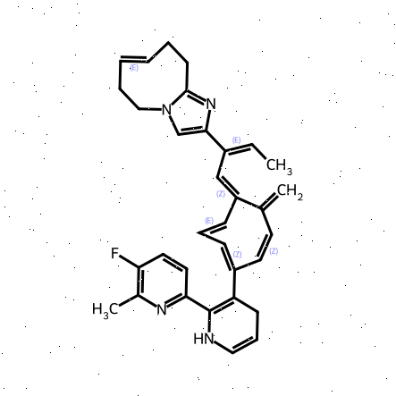 C=C1\C=C/C(C2=C(c3ccc(F)c(C)n3)NC=CC2)=C/C=C/C1=C/C(=C\C)c1cn2c(n1)CC/C=C/CC2